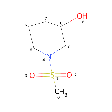 CS(=O)(=O)N1CCCC(O)C1